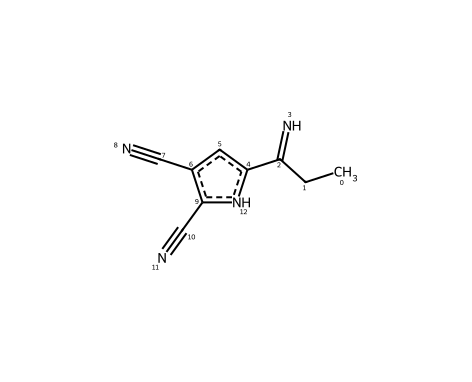 CCC(=N)c1cc(C#N)c(C#N)[nH]1